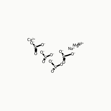 O=[Si]([O-])[O-].O=[Si]([O-])[O-].O=[Si]([O-])[O-].O=[Si]([O-])[O-].[Al+3].[Ca+2].[Mg+2].[Na+]